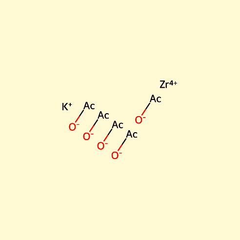 CC(=O)[O-].CC(=O)[O-].CC(=O)[O-].CC(=O)[O-].CC(=O)[O-].[K+].[Zr+4]